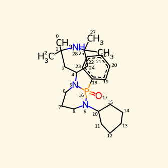 CC1(C)CC(N2CCCN(C3CCCCC3)P2(=O)c2ccccc2)CC(C)(C)N1